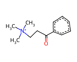 C[N+](C)(C)CCC(=O)c1ccccc1